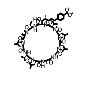 C=C1C(=O)N(C)[C@@H](CC(C)C)C(=O)N[C@H](C(C)C)C(=O)N(C)[C@H](CC(C)C)C(=O)N[C@H](C)C(=O)N[C@@H](C)C(=O)N(C)[C@@H](CC(C)C)C(=O)N(C)[C@H](CC(C)C)C(=O)N(C)[C@H](C(C)C)C(=O)N(C)[C@@H]([C@H](O)[C@H](C)CCCc2ccc(C(=O)OC)cc2)C(=O)N[C@H](CC)C(=O)N1C